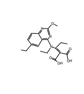 CCC(=C(C(=O)O)C(=O)O)N(CC)c1nc(OC)nc2ccc(CC)cc12